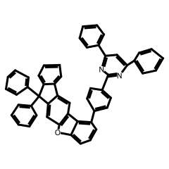 c1ccc(-c2cc(-c3ccccc3)nc(-c3ccc(-c4cccc5oc6cc7c(cc6c45)-c4ccccc4C7(c4ccccc4)c4ccccc4)cc3)n2)cc1